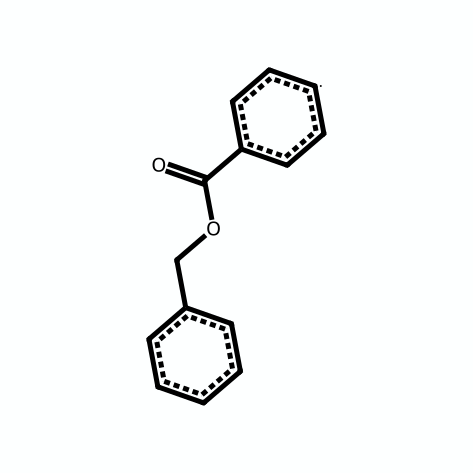 O=C(OCc1ccccc1)c1cc[c]cc1